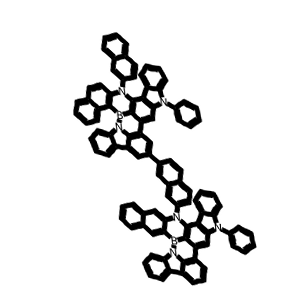 c1ccc(-n2c3ccccc3c3c4c5c(cc32)-c2cccc3c6ccccc6n(c23)B5c2cc3ccccc3cc2N4c2ccc3ccc(-c4cc5c6c(c4)c4ccccc4n6B4c6c-5cc5c(c6N(c6ccc7ccccc7c6)c6ccc7ccccc7c64)c4ccccc4n5-c4ccccc4)cc3c2)cc1